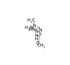 CCCN=C(N)Nc1ccnc(SC(=N)CCCOC)n1